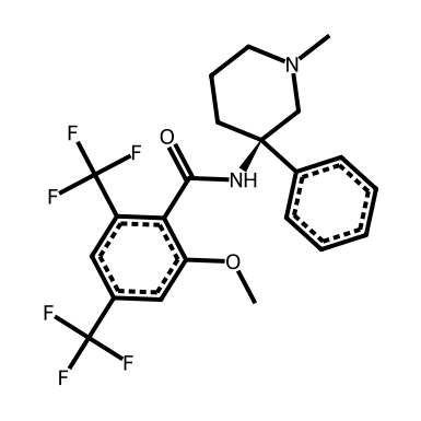 COc1cc(C(F)(F)F)cc(C(F)(F)F)c1C(=O)N[C@@]1(c2ccccc2)CCCN(C)C1